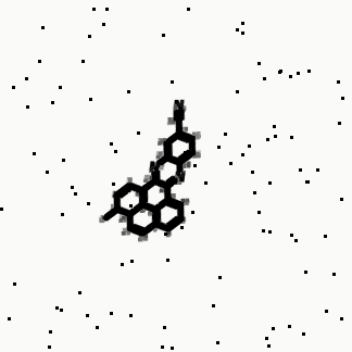 CC1C=Cc2c3c4c(cccc4c4nc5ccc(C#N)cc5nc24)C=CC31